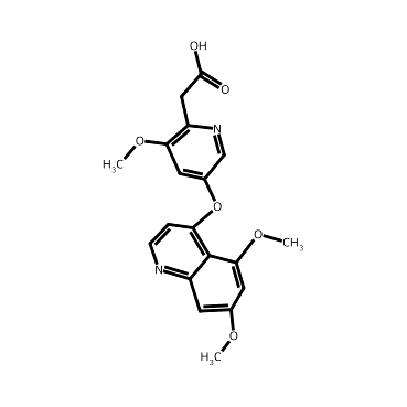 COc1cc(OC)c2c(Oc3cnc(CC(=O)O)c(OC)c3)ccnc2c1